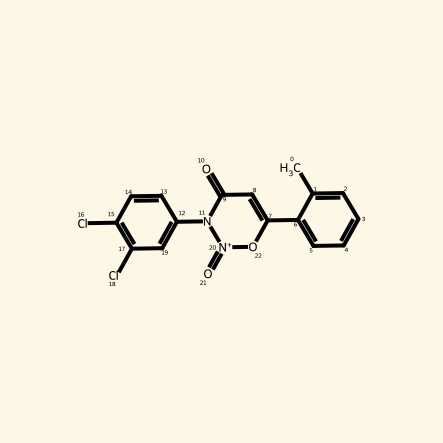 Cc1ccccc1-c1cc(=O)n(-c2ccc(Cl)c(Cl)c2)[n+](=O)o1